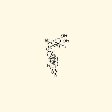 C[C@H]1O[C@H](O[C@H]2[C@@H](O)C[C@@H](O[C@H]3CC[C@@]4(C)[C@H](CC[C@@H]5[C@@H]4CC[C@]4(C)[C@@H](C6=CC(=O)OC6)CCC54O)C3)O[C@@H]2C)C[C@H](O)[C@@H]1O